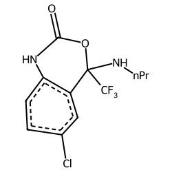 CCCNC1(C(F)(F)F)OC(=O)Nc2ccc(Cl)cc21